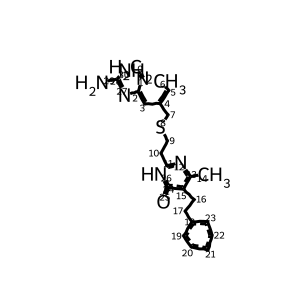 C=N/C(=C\C(=C/C)CSCCc1nc(C)c(CCc2ccccc2)c(=O)[nH]1)N=C(N)N